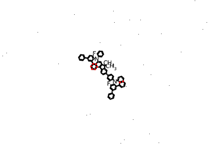 CC1(C)c2cc(-c3ccc(N(c4ccccc4)c4c(F)cc(-c5ccccc5)cc4-c4ccccc4)cc3)ccc2-c2c1cc(N(c1ccccc1)c1c(F)cc(-c3ccccc3)cc1-c1ccccc1)c1ccccc21